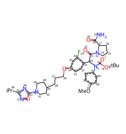 COc1ccc(N(C(=O)OC(C)(C)C)C(C(=O)N2CCCC2C(N)=O)c2ccc(OCCCC3CCN(c4nc(C(C)C)no4)CC3)cc2F)cc1